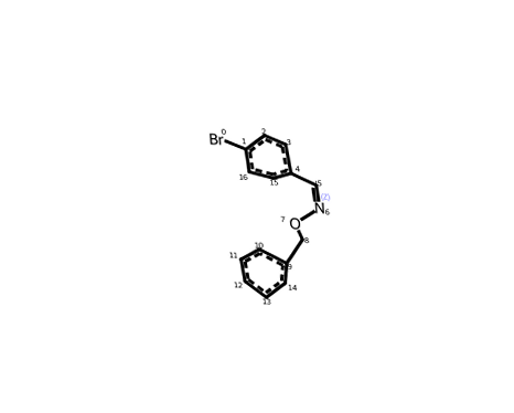 Brc1ccc(/[C]=N\OCc2ccccc2)cc1